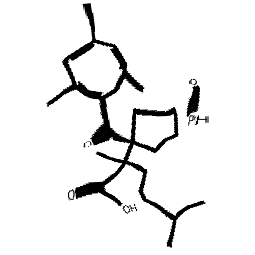 Cc1cc(C)c(C(=O)C2(C(C)(CCC(C)C)C(=O)O)CCCC2)c(C)c1.O=P